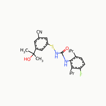 CC(C)c1ccc(F)c(C(C)C)c1NC(=O)NSc1cc(C#N)cc(C(C)(C)O)c1